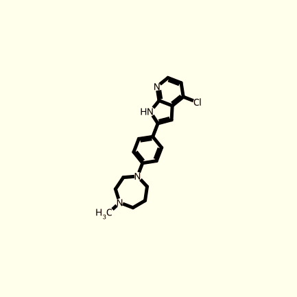 CN1CCCN(c2ccc(-c3cc4c(Cl)ccnc4[nH]3)cc2)CC1